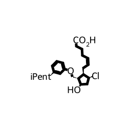 CCC[C@H](C)c1cccc(OC[C@@H]2[C@@H](C/C=C\CCCC(=O)O)[C@H](Cl)C[C@H]2O)c1